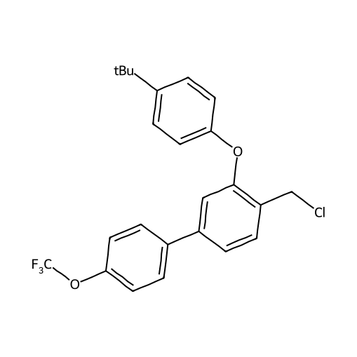 CC(C)(C)c1ccc(Oc2cc(-c3ccc(OC(F)(F)F)cc3)ccc2CCl)cc1